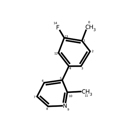 Cc1ccc(-c2cccnc2C)cc1F